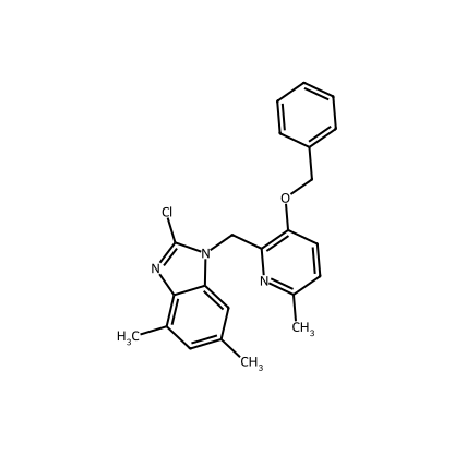 Cc1cc(C)c2nc(Cl)n(Cc3nc(C)ccc3OCc3ccccc3)c2c1